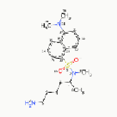 CC(CCCCN)N(C)S(=O)(=O)c1cccc2c(N(C)C)cccc12